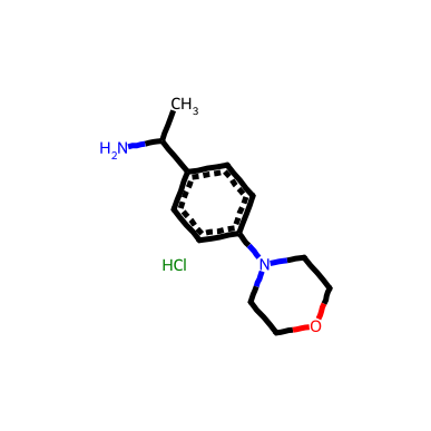 CC(N)c1ccc(N2CCOCC2)cc1.Cl